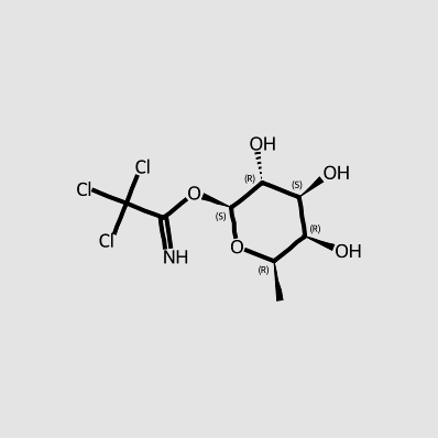 C[C@H]1O[C@@H](OC(=N)C(Cl)(Cl)Cl)[C@H](O)[C@@H](O)[C@H]1O